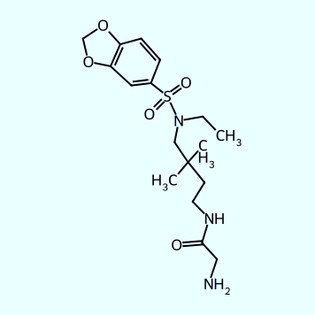 CCN(CC(C)(C)CCNC(=O)CN)S(=O)(=O)c1ccc2c(c1)OCO2